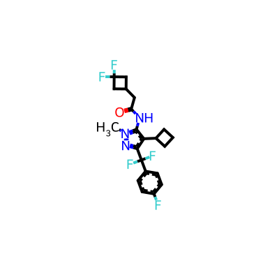 Cn1nc(C(F)(F)c2ccc(F)cc2)c(C2CCC2)c1NC(=O)CC1CC(F)(F)C1